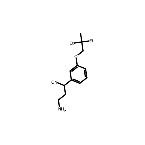 CCC(C)(CC)COc1cccc(C(CCN)N=O)c1